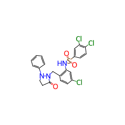 O=C1CCN(c2ccccc2)N1Cc1ccc(Cl)cc1NS(=O)(=O)c1ccc(Cl)c(Cl)c1